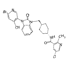 Cc1ncc(Cl)cc1C(=O)N[C@H]1CC[C@H](Cn2c(=O)n(-c3cnc(Br)cc3C#N)c3ccccc32)CC1